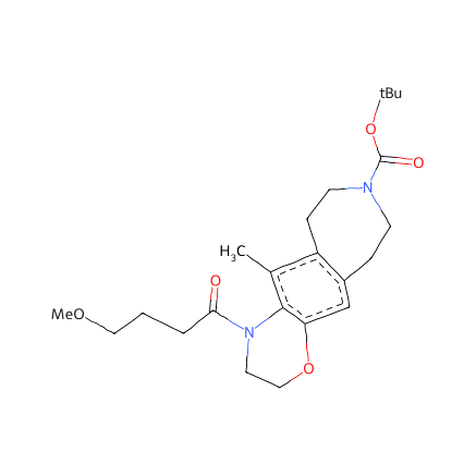 COCCCC(=O)N1CCOc2cc3c(c(C)c21)CCN(C(=O)OC(C)(C)C)CC3